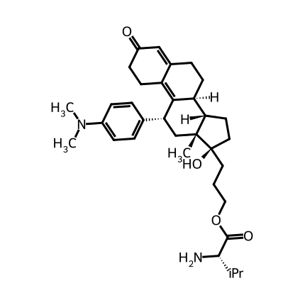 CC(C)[C@H](N)C(=O)OCCC[C@@]1(O)CC[C@H]2[C@@H]3CCC4=CC(=O)CCC4=C3[C@@H](c3ccc(N(C)C)cc3)C[C@]21C